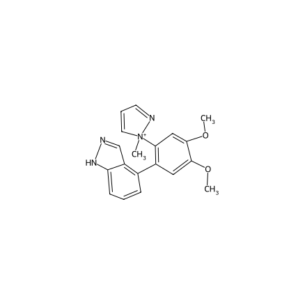 COc1cc(-c2cccc3[nH]ncc23)c([N+]2(C)C=CC=N2)cc1OC